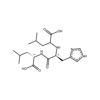 CC(C)CC(N[C@@H](Cc1c[nH]cn1)C(=O)N[C@@H](CC(C)C)C(=O)O)C(=O)O